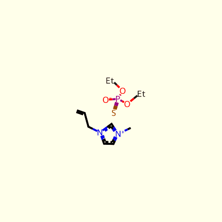 C=CCn1cc[n+](C)c1.CCOP([O-])(=S)OCC